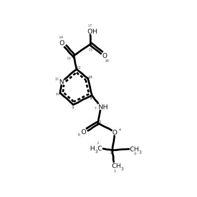 CC(C)(C)OC(=O)Nc1ccnc(C(=O)C(=O)O)c1